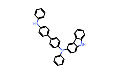 c1ccc(Nc2ccc(-c3ccc(N(c4ccccc4)c4ccc5[nH]c6ccccc6c5c4)cc3)cc2)cc1